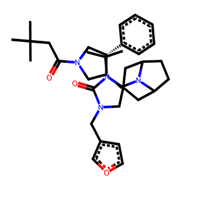 CC(C)N1C(=O)N(Cc2ccoc2)CC12CC1CCC(C2)N1C[C@H]1CN(C(=O)CC(C)(C)C)C[C@@H]1c1ccccc1